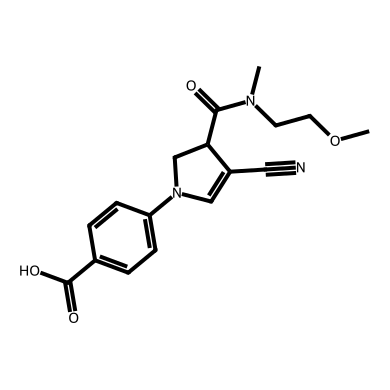 COCCN(C)C(=O)C1CN(c2ccc(C(=O)O)cc2)C=C1C#N